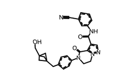 N#Cc1cccc(NC(=O)c2cnn3c2C(=O)N(c2ccc(CC45CC(CO)(C4)C5)cc2)CC3)c1